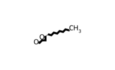 CCCCCCCCC[C@@H]1CC(C=O)O1